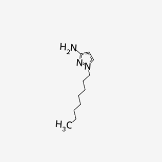 CCCCCCCCn1ccc(N)n1